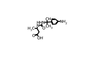 CC(CC(=O)O)NC(=O)NC(C)(C)c1ccc(N)cc1